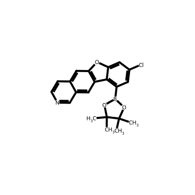 CC1(C)OB(c2cc(Cl)cc3oc4cc5ccncc5cc4c23)OC1(C)C